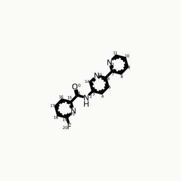 O=C(Nc1ccc(-c2ccccn2)nc1)c1cccc(F)n1